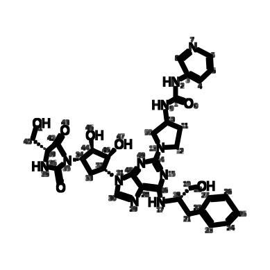 O=C(Nc1cccnc1)NC1CCN(c2nc(N[C@H](CO)Cc3ccccc3)c3ncn([C@@H]4C[C@H](N5C(=O)N[C@H](CO)C5=O)[C@@H](O)[C@H]4O)c3n2)C1